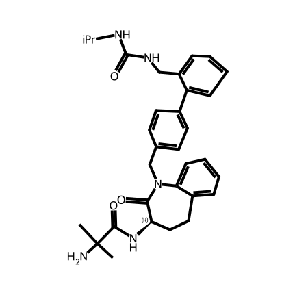 CC(C)NC(=O)NCc1ccccc1-c1ccc(CN2C(=O)[C@H](NC(=O)C(C)(C)N)CCc3ccccc32)cc1